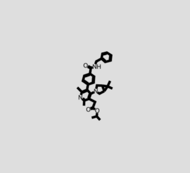 Cc1nc(C)c(-c2ccc(C(=O)NCc3ccccc3)cc2)c(N2CC3C(C2)C3(C)C)c1CC(=O)OC(C)C